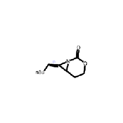 CCCC/C=C1\C2CCOC(=O)N12